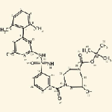 Cc1cccc(C)c1-c1cc(Cl)nc(NS(=N)(=O)c2cccc(C(=O)N3CCN(C(=O)OC(C)(C)C)CC(O)C3)c2)n1